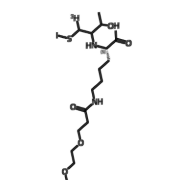 [3H]C(SI)C(N[C@@H](CCCCNC(=O)CCOCCOC)C(C)=O)C(C)O